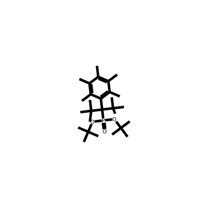 Cc1c(C)c(C)c(C(C(C)(C)C)(C(C)(C)C)P(=O)(OC(C)(C)C)OC(C)(C)C)c(C)c1C